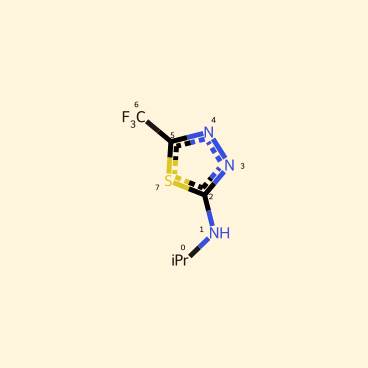 CC(C)Nc1nnc(C(F)(F)F)s1